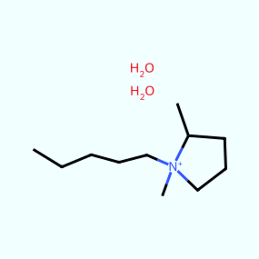 CCCCC[N+]1(C)CCCC1C.O.O